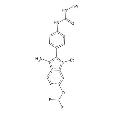 CCCNC(=O)Nc1ccc(-c2c(N)c3ccc(OC(F)F)cc3n2CC)cc1